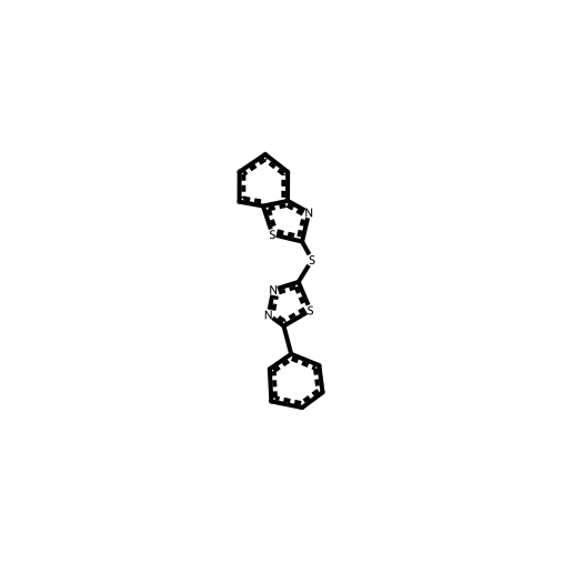 c1ccc(-c2nnc(Sc3nc4ccccc4s3)s2)cc1